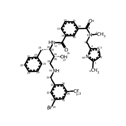 Cc1csc(CN(C)C(=O)c2cccc(C(=O)N[C@@H](Cc3ccccc3)[C@H](O)CNCc3cc(Br)cc(C(F)(F)F)c3)c2)n1